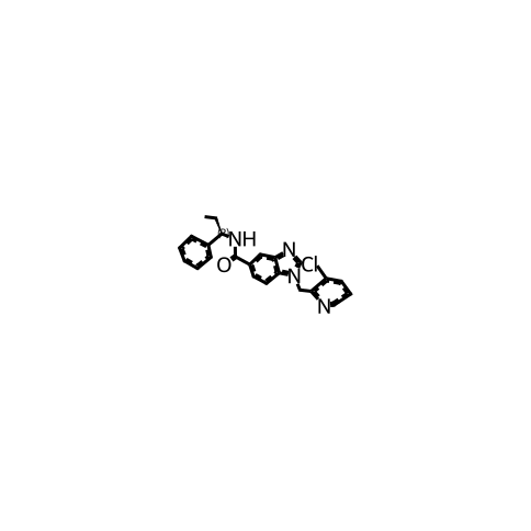 CC[C@@H](NC(=O)c1ccc2c(c1)ncn2Cc1ncccc1Cl)c1ccccc1